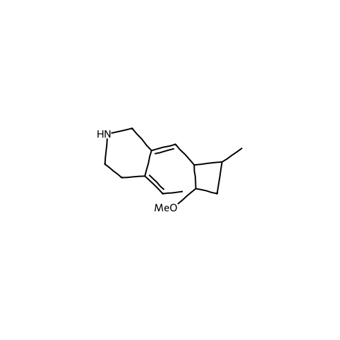 C/C=C1/CCNC/C1=C/C1C(C)CC1OC